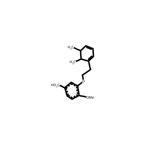 COc1ccc(C(=O)O)cc1OCCC1=CC=CC(C)C1C